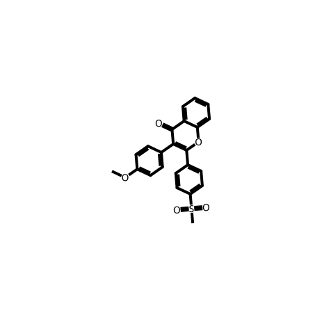 COc1ccc(-c2c(-c3ccc(S(C)(=O)=O)cc3)oc3ccccc3c2=O)cc1